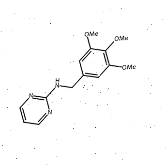 COc1cc(CNc2ncccn2)cc(OC)c1OC